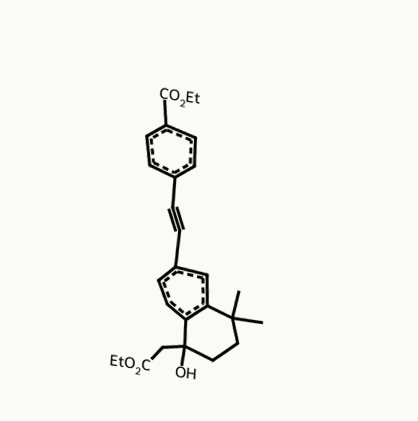 CCOC(=O)CC1(O)CCC(C)(C)c2cc(C#Cc3ccc(C(=O)OCC)cc3)ccc21